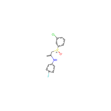 C=C(C[S@+]([O-])c1cccc(Cl)c1)Nc1ccc(F)cc1